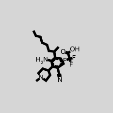 CCCCCCC(C)c1ccc(C#N)c(C2CCN(C)CC2)c1N.O=C(O)C(F)(F)F